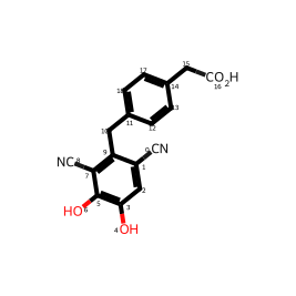 N#Cc1cc(O)c(O)c(C#N)c1Cc1ccc(CC(=O)O)cc1